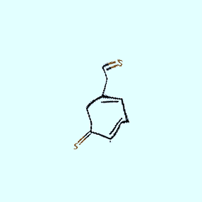 S=CC1=CC=[C]C(=S)C1